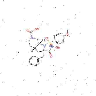 COc1ccc(S(=O)(=O)N2[C@H]3CN(C(=O)O)CC[C@H]3C[C@]2(Cc2ccccc2)C(=O)NO)cc1